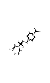 CC(C)N1CCN(CCC(C)(C)N(CO)CO)CC1